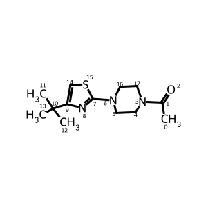 CC(=O)N1CCN(c2nc(C(C)(C)C)cs2)CC1